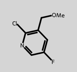 COCc1cc(F)cnc1Cl